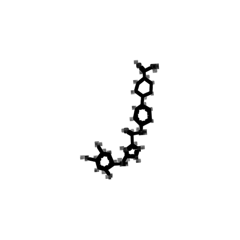 O=C(Nc1ccc(C2CCC(C(=O)O)CC2)cc1)c1nnc(Nc2cc(F)c(F)cc2F)o1